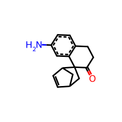 Nc1ccc2c(c1)C1(CC3C=CC1C3)C(=O)CC2